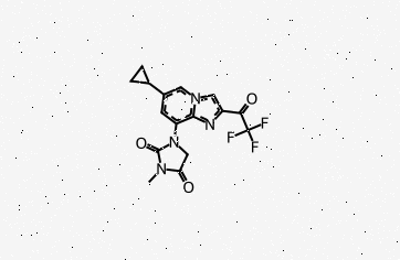 CN1C(=O)CN(c2cc(C3CC3)cn3cc(C(=O)C(F)(F)F)nc23)C1=O